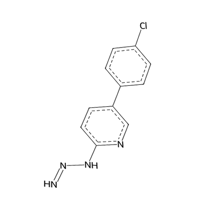 N=NNc1ccc(-c2ccc(Cl)cc2)cn1